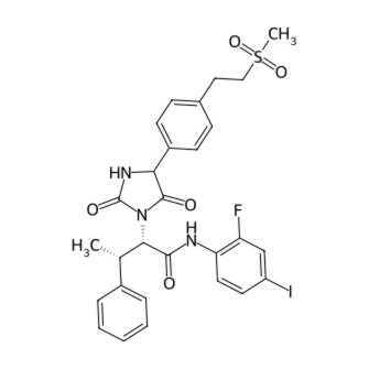 C[C@@H](c1ccccc1)[C@@H](C(=O)Nc1ccc(I)cc1F)N1C(=O)NC(c2ccc(CCS(C)(=O)=O)cc2)C1=O